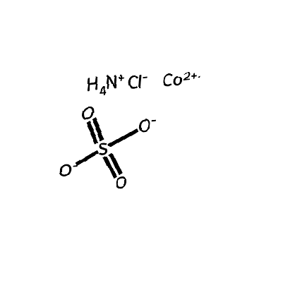 O=S(=O)([O-])[O-].[Cl-].[Co+2].[NH4+]